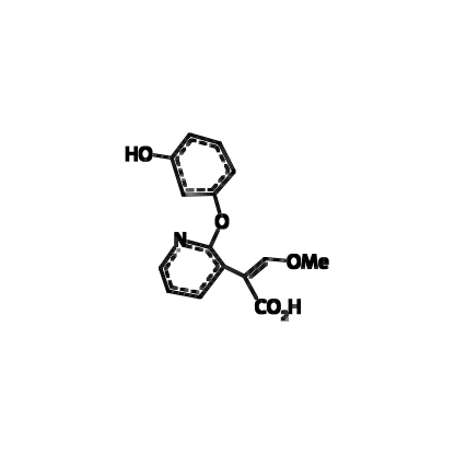 COC=C(C(=O)O)c1cccnc1Oc1cccc(O)c1